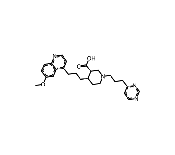 COc1ccc2nccc(CCC[C@@H]3CCN(CCCc4ccncn4)C[C@@H]3C(=O)O)c2c1